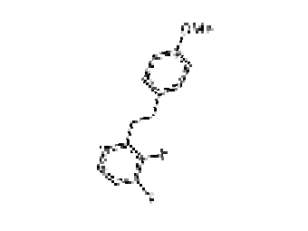 COc1ccc(CCc2[c]ccc(F)c2F)cc1